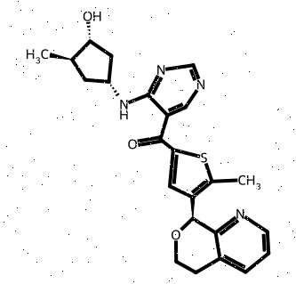 Cc1sc(C(=O)c2cncnc2N[C@@H]2C[C@@H](C)[C@H](O)C2)cc1[C@@H]1OCCc2cccnc21